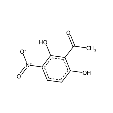 CC(=O)c1c(O)ccc([N+](=O)[O-])c1O